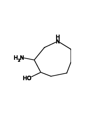 NC1CNCCCCC1O